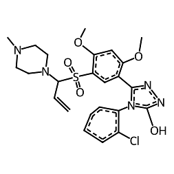 C=CC(N1CCN(C)CC1)S(=O)(=O)c1cc(-c2nnc(O)n2-c2ccccc2Cl)c(OC)cc1OC